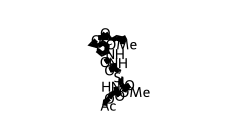 COC(=O)C(CSCC(=O)NC(=O)N[C@@H]1CC[C@]2(CO2)[C@@H](C2(C)O[C@@H]2CC=C(C)C)[C@@H]1OC)NC(=O)COCC(C)=O